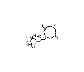 CCN1CCN(CC)CCN(CC(O)CN2CC(S)(S)C(SC)C(S)(S)C2)CCN(CC)CC1